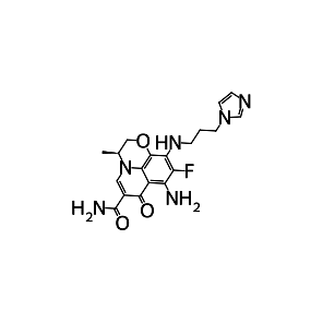 C[C@H]1COc2c(NCCCn3ccnc3)c(F)c(N)c3c(=O)c(C(N)=O)cn1c23